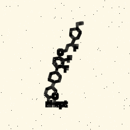 C=CC1CCC(C(F)CCOc2ccc(C3CCC(C4CCC(CCCCCCC)OC4)CC3)c(F)c2F)CC1